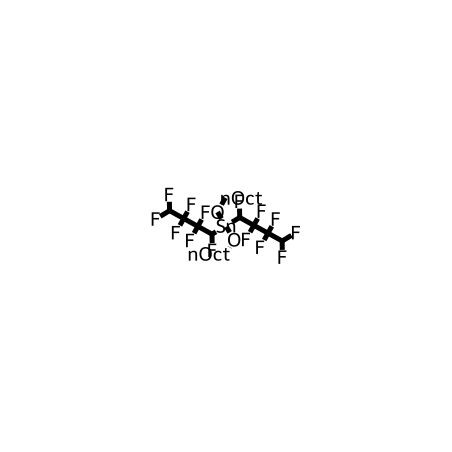 CCCCCCCC[O][Sn]([O]CCCCCCCC)([CH](F)C(F)(F)C(F)(F)C(F)F)[CH](F)C(F)(F)C(F)(F)C(F)F